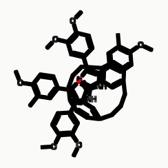 COc1ccc(-c2nc(-c3cc4ccc3CCCc3ccc(cc3-c3nc(-c5ccc(OC)c(OC)c5)c(-c5ccc(OC)c(C)c5)[nH]3)CCC4)[nH]c2-c2ccc(OC)c(OC)c2)cc1C